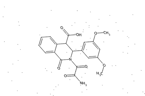 COc1cc(OC)cc(C2C(C(=O)O)c3ccccc3C(=O)N2C(=O)C(N)=O)c1